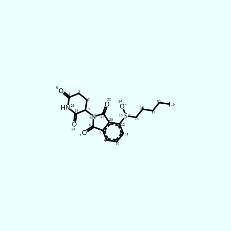 O=C1CCC(N2C(=O)c3cccc([S+]([O-])CCCCI)c3C2=O)C(=O)N1